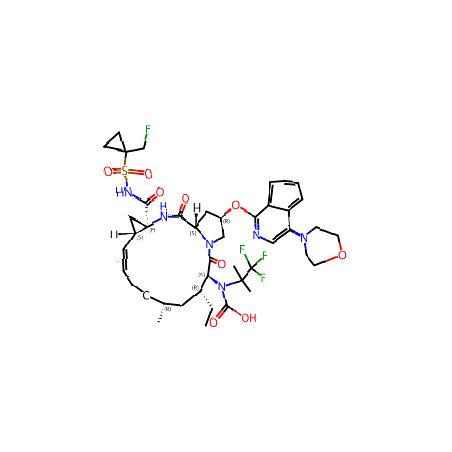 CC[C@@H]1C[C@H](C)CC/C=C\[C@@H]2C[C@@]2(C(=O)NS(=O)(=O)C2(CF)CC2)NC(=O)[C@@H]2C[C@@H](Oc3ncc(N4CCOCC4)c4ccccc34)CN2C(=O)[C@H]1N(C(=O)O)C(C)(C)C(F)(F)F